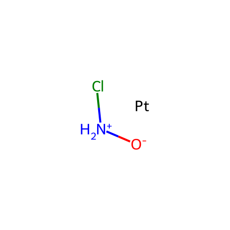 [O-][NH2+]Cl.[Pt]